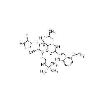 COc1cccc2[nH]c(C(=O)N[C@@H](CC(C)C)C(=O)N[C@@H](C[C@@H]3CCNC3=O)C(C#N)SCCNC(C)(C)C)cc12